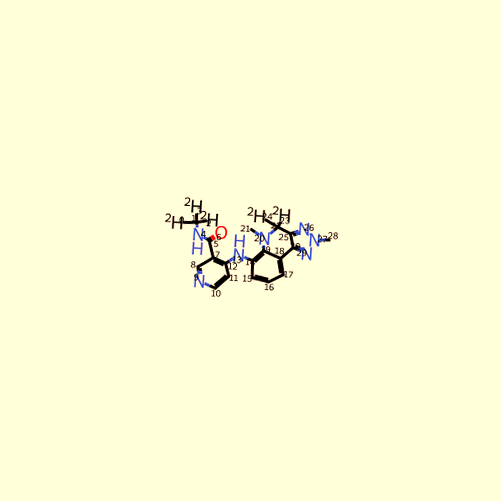 [2H]C([2H])([2H])NC(=O)c1cnccc1Nc1cccc2c1N(C)C([2H])([2H])c1nn(C)nc1-2